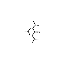 CC(C)CC(=O)CC(C)C.CN(C)C